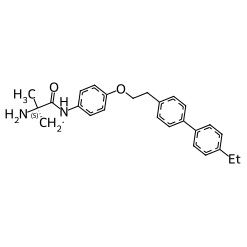 [CH2][C@@](C)(N)C(=O)Nc1ccc(OCCc2ccc(-c3ccc(CC)cc3)cc2)cc1